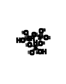 O=S1(=O)O[SH](=O)(O)O[SH](=O)(O)O1